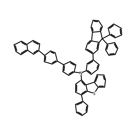 c1ccc(-c2ccc(N(c3ccc(-c4ccc(-c5ccc6ccccc6c5)cc4)cc3)c3cccc(-c4ccc5c(c4)C(c4ccccc4)(c4ccccc4)c4ccccc4-5)c3)c3c2sc2ccccc23)cc1